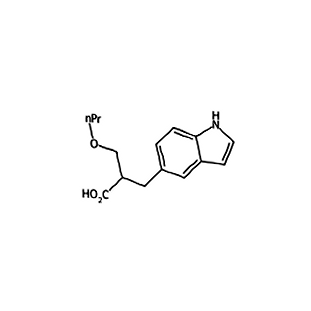 CCCOCC(Cc1ccc2[nH]ccc2c1)C(=O)O